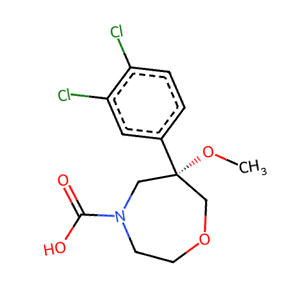 CO[C@]1(c2ccc(Cl)c(Cl)c2)COCCN(C(=O)O)C1